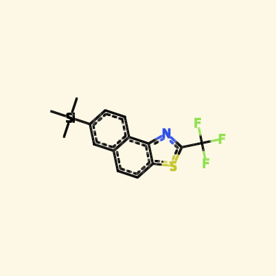 C[Si](C)(C)c1ccc2c(ccc3sc(C(F)(F)F)nc32)c1